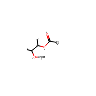 CCCCOC(C)C(C)OC(=O)CC